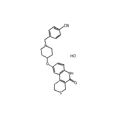 Cl.N#Cc1ccc(CN2CCC(Oc3ccc4[nH]c(=O)c5c(c4c3)CCSC5)CC2)cc1